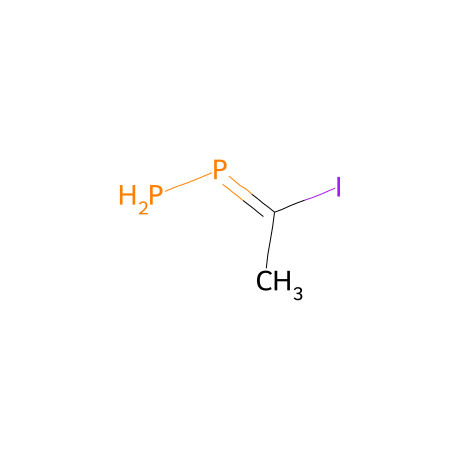 C/C(I)=P\P